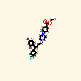 CCOC(=O)c1ccc(N2CCN(CCCC(c3ccc(F)cc3)c3ccc(F)cc3)CC2)cc1